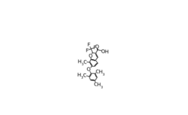 Cc1cc(C)c(Oc2ccc3c(c2C)OC(C(F)(F)F)C(C(=O)O)=C3)c(C)c1